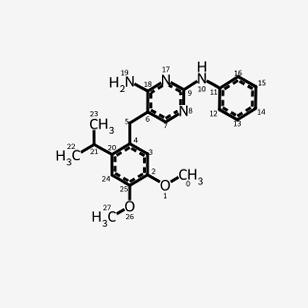 COc1cc(Cc2cnc(Nc3ccccc3)nc2N)c(C(C)C)cc1OC